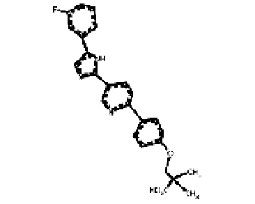 CC(C)(COc1ccc(-c2ccc(-c3ncc(-c4cccc(F)c4)[nH]3)cn2)cc1)C(=O)O